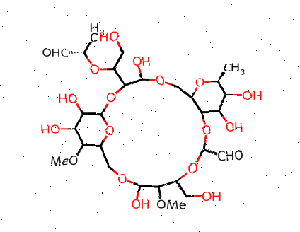 COC1C(O)OCC2OC(OC(C(CO)O[C@@H](C)C=O)C(O)OCC3O[C@@H](C)C(O)C(O)C3OC(C=O)OC1CO)C(O)C(O)C2OC